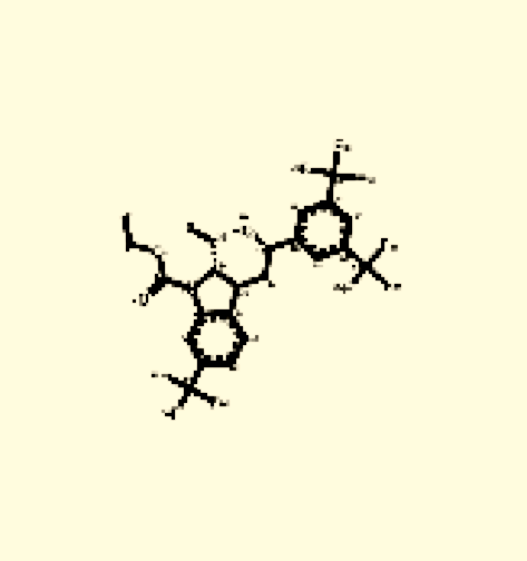 CCOC(=O)N1c2cc(C(F)(F)F)ccc2C(C[C@@H](O)c2cc(C(F)(F)F)cc(C(F)(F)F)c2)[C@H]1CC